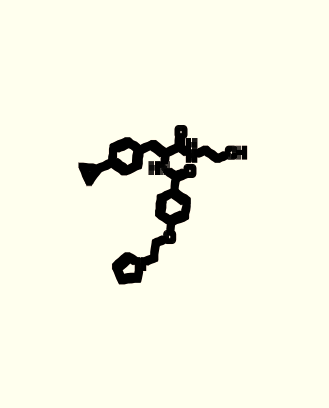 O=C(NCCO)C(=Cc1ccc(C2CC2)cc1)NC(=O)c1ccc(OCCn2cccc2)cc1